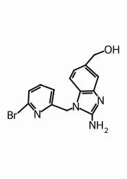 Nc1nc2cc(CO)ccc2n1Cc1cccc(Br)n1